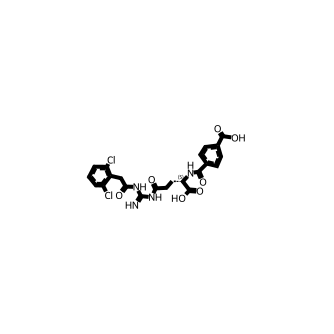 N=C(NC(=O)CC[C@H](NC(=O)c1ccc(C(=O)O)cc1)C(=O)O)NC(=O)Cc1c(Cl)cccc1Cl